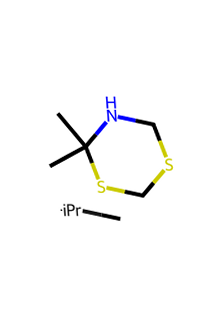 CC1(C)NCSCS1.C[C](C)C